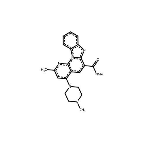 CNC(=O)c1cc2c(N3CCN(C)CC3)cc(C)nc2n2c1nc1ccccc12